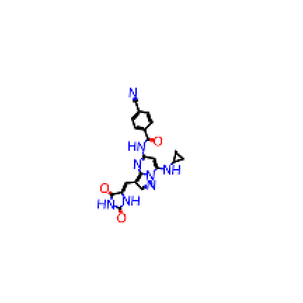 N#Cc1ccc(C(=O)Nc2cc(NC3CC3)n3ncc(/C=C4\NC(=O)NC4=O)c3n2)cc1